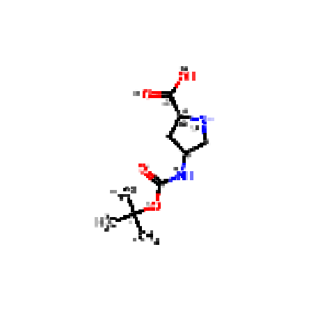 CC(C)(C)OC(=O)NC1CN[C@H](C(=O)O)C1